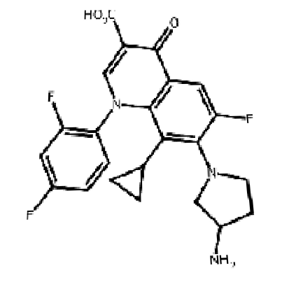 NC1CCN(c2c(F)cc3c(=O)c(C(=O)O)cn(-c4ccc(F)cc4F)c3c2C2CC2)C1